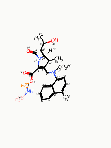 BNPOC(=O)C1=C(CN(C(=O)O)c2ccc(C#N)c3ccccc23)[C@H](C)[C@@H]2[C@@H]([C@@H](C)O)C(=O)N12